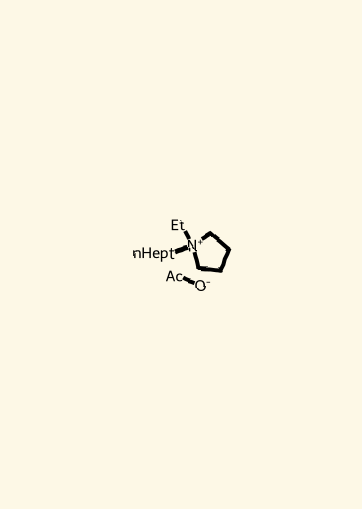 CC(=O)[O-].CCCCCCC[N+]1(CC)CCCC1